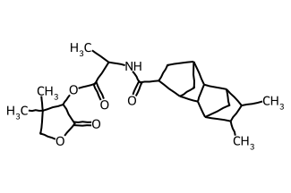 CC(NC(=O)C1CC2CC1C1C3CC(C(C)C3C)C21)C(=O)OC1C(=O)OCC1(C)C